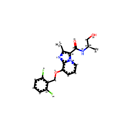 Cc1nc2c(OCc3c(F)cccc3F)cccn2c1C(=O)N[C@@H](CO)C(C)C